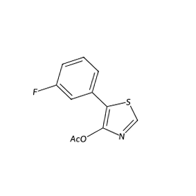 CC(=O)Oc1ncsc1-c1cccc(F)c1